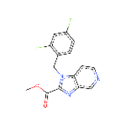 COC(=O)c1nc2cnccc2n1Cc1ccc(F)cc1F